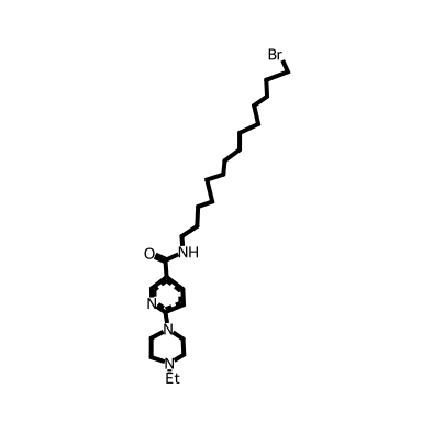 CCN1CCN(c2ccc(C(=O)NCCCCCCCCCCCCCCBr)cn2)CC1